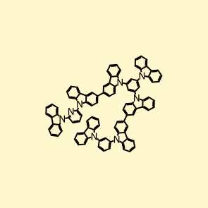 c1cc(-n2c3ccccc3c3ccccc32)cc(-n2c3ccccc3c3cc(-c4ccc5c(c4)c4ccccc4n5-c4cc(-n5c6ccccc6c6ccccc65)cc(-n5c6ccccc6c6cc(-c7ccc8c(c7)c7ccccc7n8-c7cccc(-n8c9ccccc9c9ccccc98)n7)ccc65)c4)ccc32)c1